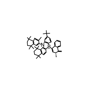 C=C1c2ccccc2C(B2c3ccc(C(C)(C)C)cc3N(c3cc4c(cc3C)C(C)(C)CCC4(C)C)c3c2ccc2c3C(C)(C)CCC2(C)C)=C[C@@H]1C